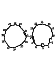 C1=C(C2=CCCCCCCCCCC2)CCCCCCCCCC1